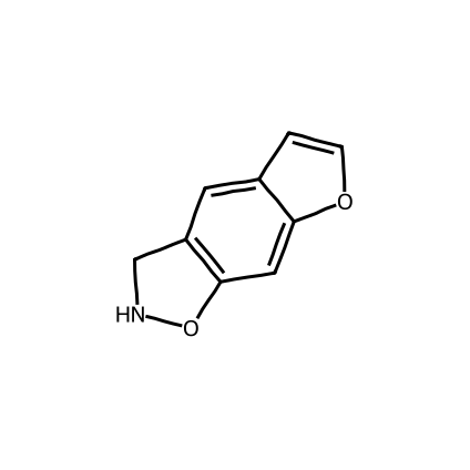 c1cc2cc3c(cc2o1)ONC3